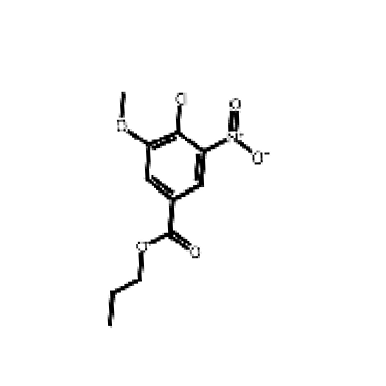 CCCOC(=O)c1cc(OC)c(Cl)c([N+](=O)[O-])c1